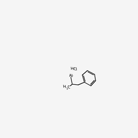 C[CH]([Al])Cc1ccccc1.Cl